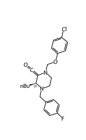 CCCC[C@H]1C(=C=O)N(COc2ccc(Cl)cc2)CCN1Cc1ccc(F)cc1